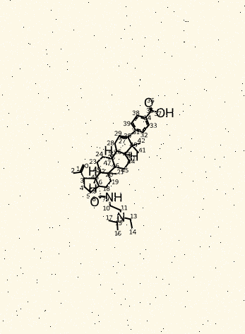 C=C(C)[C@@H]1CC[C@]2(C(=O)NCCN(CC)C(C)C)CC[C@]3(C)[C@H](CC[C@@H]4[C@@]5(C)CC=C(c6ccc(C(=O)O)cc6)C(C)(C)[C@@H]5CC[C@]43C)[C@@H]12